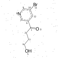 O=C(CCCO)c1cncc(Br)c1